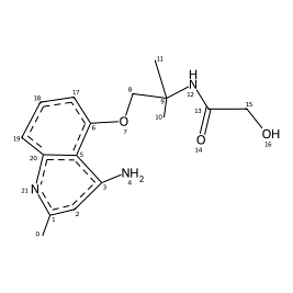 Cc1cc(N)c2c(OCC(C)(C)NC(=O)CO)cccc2n1